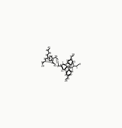 CCCC[B-](c1ccc(CC)cc1)(c1ccc(CC)cc1)c1ccc(CC)cc1.CCCC[N+](CCCC)(CCCC)CCCC